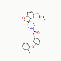 Cc1ccccc1Oc1cccc(CC(=O)N2CCC3(CC2)COc2ccc(CN)cc23)c1